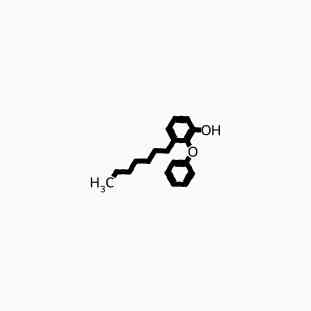 CCCCCCCc1cccc(O)c1Oc1ccccc1